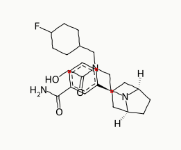 NC(=O)c1cccc([C@H]2C[C@H]3CC[C@@H](C2)N3CCN(CC2CCC(F)CC2)C(=O)CO)c1